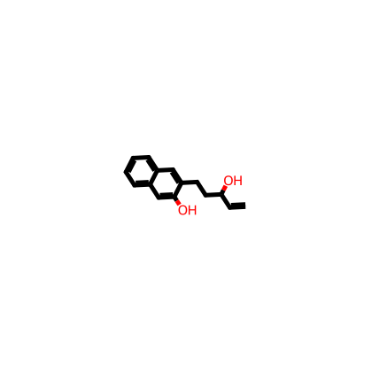 C=CC(O)CCc1cc2ccccc2cc1O